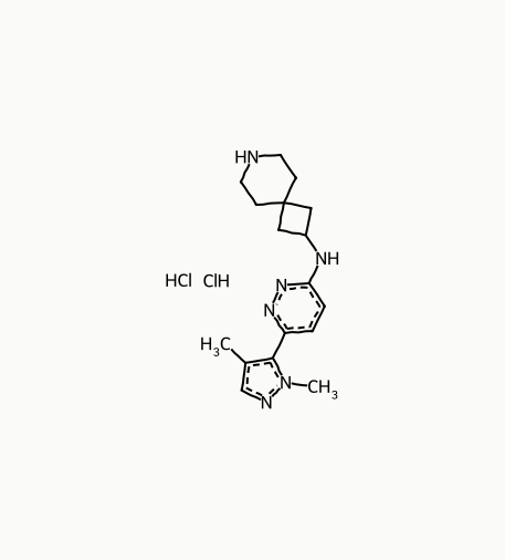 Cc1cnn(C)c1-c1ccc(NC2CC3(CCNCC3)C2)nn1.Cl.Cl